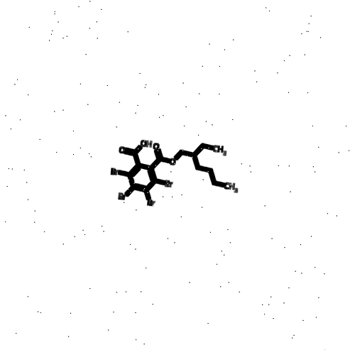 CCCCC(CC)COC(=O)c1c(Br)c(Br)c(Br)c(Br)c1C(=O)O